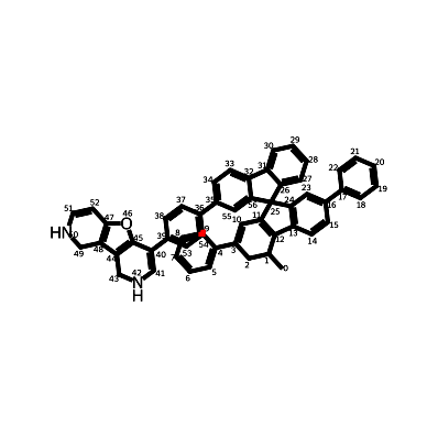 CC1CC(c2ccccc2)=CC2=C1c1ccc(-c3ccccc3)cc1C21c2ccccc2-c2ccc(-c3ccc(C4=CNCc5c4oc4c5CNC=C4)cc3)cc21